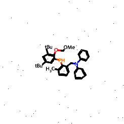 COCOc1c(Pc2c(C)cccc2CN(c2ccccc2)c2ccccc2)cc(C(C)(C)C)cc1C(C)(C)C